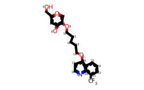 O=c1cc(CO)occ1OCCCCCOc1ccnc2c(C(F)(F)F)cccc12